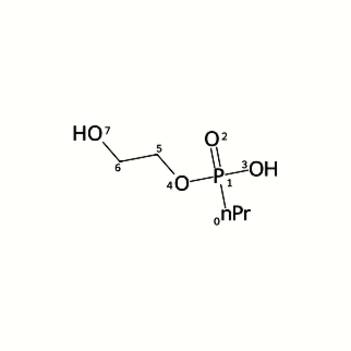 [CH2]CCP(=O)(O)OCCO